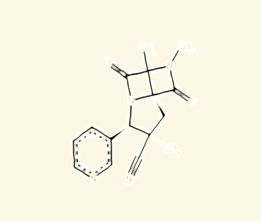 CN1C(=O)[C@]23C[C@@](C)(C#N)[C@@H](c4cccnc4)N2C(=O)C13C